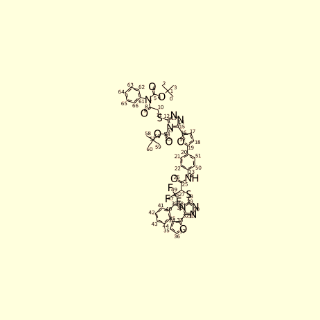 CC(C)(C)OC(=O)N(C(=O)CSc1nnc(-c2ccc(-c3ccc(NC(=O)C(Sc4nnc(-c5ccco5)n4Cc4ccccc4)C(F)(F)F)cc3)o2)n1C(=O)OC(C)(C)C)c1ccccc1